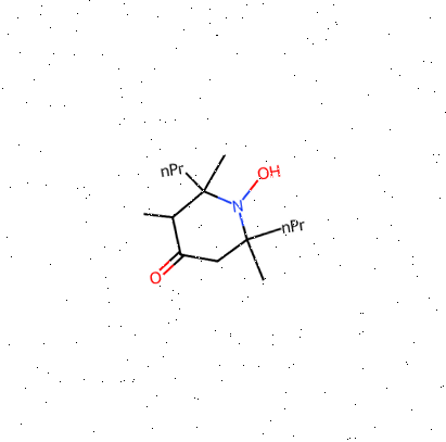 CCCC1(C)CC(=O)C(C)C(C)(CCC)N1O